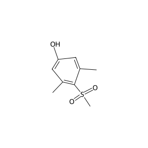 Cc1cc(O)cc(C)c1S(C)(=O)=O